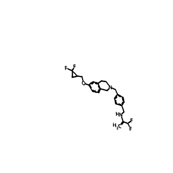 C=C(NCc1ccc(CN2CCc3cc(OCC4CC4(F)F)ccc3C2)cc1)C(F)F